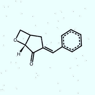 O=C1/C(=C/c2ccccc2)CC2CO[C@@H]12